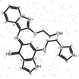 N=C1/C(=N/c2c(OCCO)nn3ccccc23)C=C(OCCn2ccnc2)c2[nH]ccc21